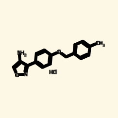 Cc1ccc(COc2ccc(-c3nocc3N)cc2)cc1.Cl